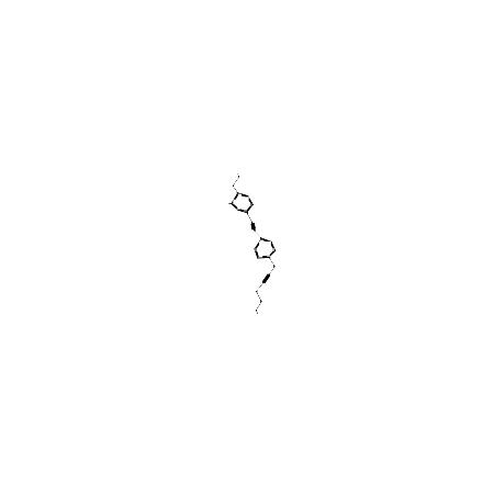 CCCCC#CCc1ccc(C#Cc2ccc(CCC)c(F)c2)cc1